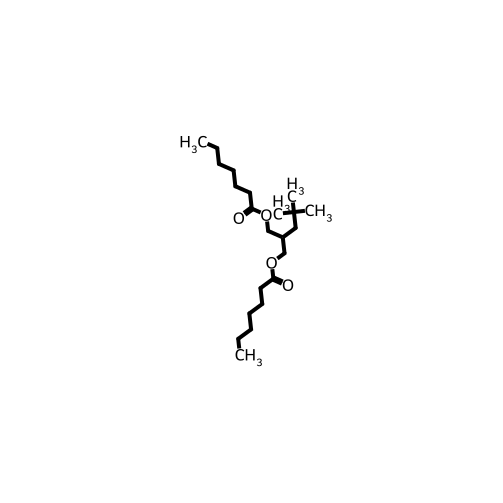 CCCCCCC(=O)OCC(COC(=O)CCCCCC)CC(C)(C)C